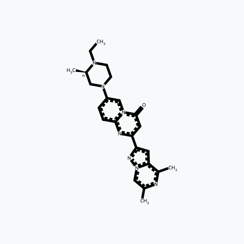 CCN1CCN(c2ccc3nc(-c4cc5c(C)nc(C)cn5n4)cc(=O)n3c2)C[C@H]1C